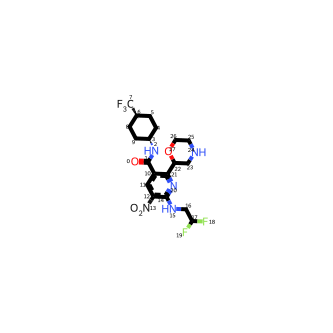 O=C(N[C@H]1CC[C@H](C(F)(F)F)CC1)c1cc([N+](=O)[O-])c(NCC(F)F)nc1C1CNCCO1